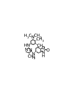 Cc1cnc(Nc2cc(C)c(C)c(N(C)C)c2)nc1Nc1ccc2oc(=O)[nH]c2c1